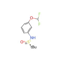 CC(C)(C)[S@@+]([O-])Nc1cccc(OC(F)F)c1